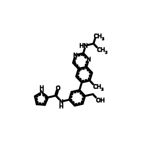 Cc1cc2nc(NC(C)C)ncc2cc1-c1cc(NC(=O)c2ccc[nH]2)ccc1CO